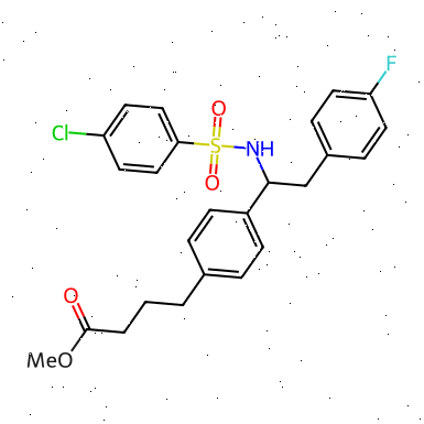 COC(=O)CCCc1ccc(C(Cc2ccc(F)cc2)NS(=O)(=O)c2ccc(Cl)cc2)cc1